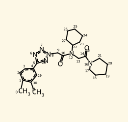 Cc1ccc(-c2nnn(CC(=O)N(CC(=O)N3CCCCC3)C3CCCCC3)n2)cc1C